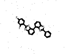 Fc1ccc(-c2nc3cccc(-c4cccc5sc(-c6ccccc6)nc45)c3s2)c(F)c1